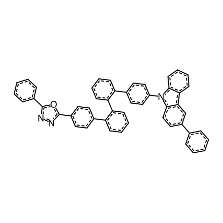 c1ccc(-c2ccc3c(c2)c2ccccc2n3-c2ccc(-c3ccccc3-c3ccccc3-c3ccc(-c4nnc(-c5ccccc5)o4)cc3)cc2)cc1